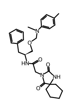 Cc1ccc(N(C)COC[C@H](Cc2ccccc2)NC(=O)CN2C(=O)NC3(CCCCC3)C2=O)cc1